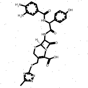 Cc1nnc(SCC2=C(C(=O)O)N3C(=O)C(NC(=O)C(NC(=O)c4ccc(N)c(N)c4)c4ccc(O)cc4)[C@@H]3SC2)s1